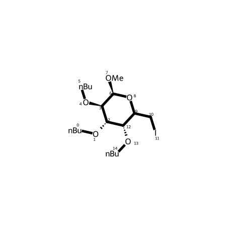 CCCCO[C@@H]1[C@@H](OCCCC)[C@@H](OC)OC(CI)[C@@H]1OCCCC